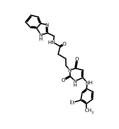 CCc1cc(Nc2cc(=O)n(CCCC(=O)NCc3nc4ccccc4[nH]3)c(=O)[nH]2)ccc1C